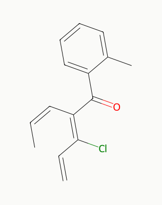 C=C/C(Cl)=C(\C=C/C)C(=O)c1ccccc1C